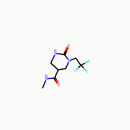 CNC(=O)C1CNC(=O)N(CC(F)(F)F)C1